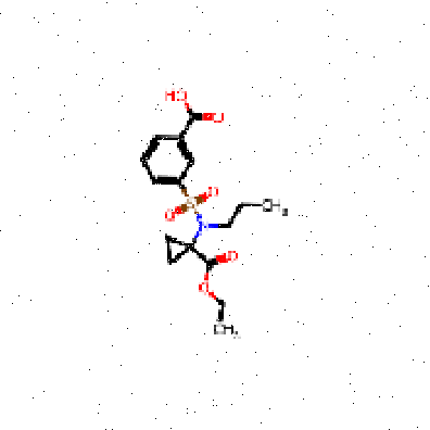 CCCN(C1(C(=O)OCC)CC1)S(=O)(=O)c1cccc(C(=O)O)c1